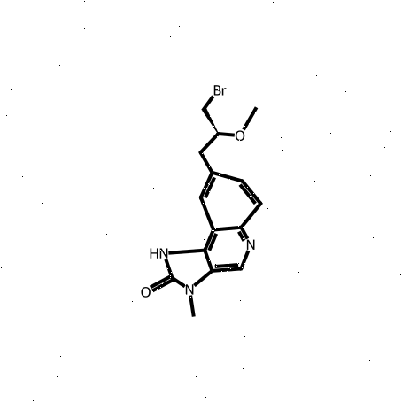 CO[C@H](CBr)Cc1ccc2ncc3c([nH]c(=O)n3C)c2c1